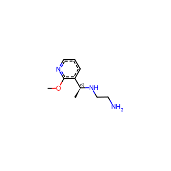 COc1ncccc1[C@H](C)NCCN